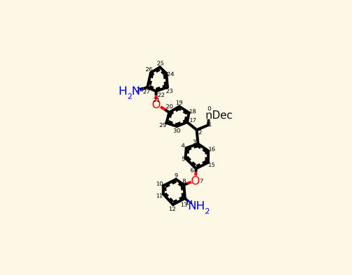 CCCCCCCCCCCC(c1ccc(Oc2ccccc2N)cc1)c1ccc(Oc2ccccc2N)cc1